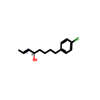 C/C=C/[C@@H](O)CCCCc1ccc(Cl)cc1